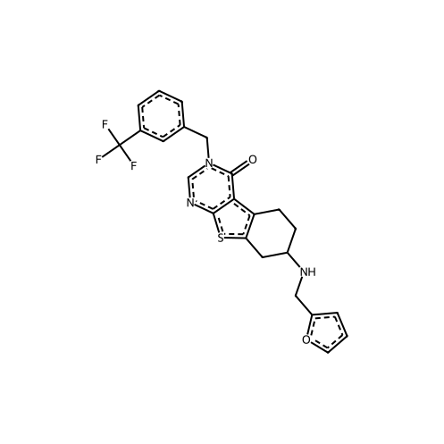 O=c1c2c3c(sc2ncn1Cc1cccc(C(F)(F)F)c1)CC(NCc1ccco1)CC3